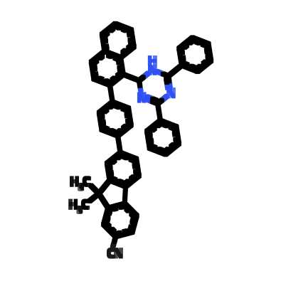 CC1(C)c2cc(C#N)ccc2-c2ccc(-c3ccc(-c4ccc5ccccc5c4C4N=C(c5ccccc5)N=C(c5ccccc5)N4)cc3)cc21